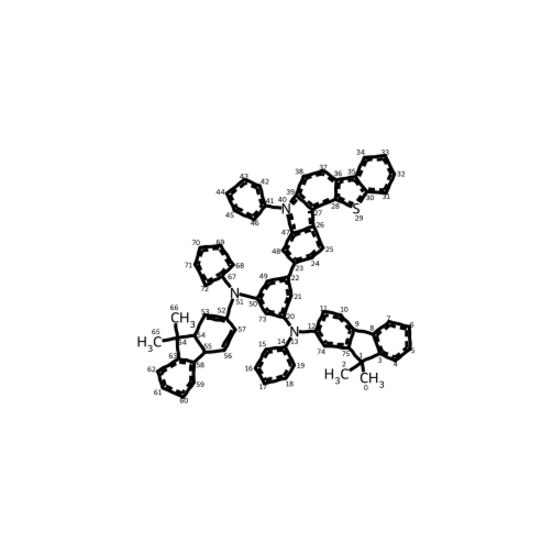 CC1(C)c2ccccc2-c2ccc(N(c3ccccc3)c3cc(-c4ccc5c6c7sc8ccccc8c7ccc6n(-c6ccccc6)c5c4)cc(N(C4=CC5C(C=C4)c4ccccc4C5(C)C)c4ccccc4)c3)cc21